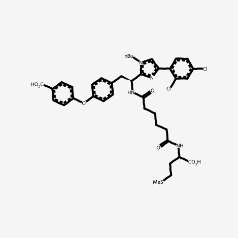 CCCCn1cc(-c2ccc(Cl)cc2Cl)nc1[C@H](Cc1ccc(Oc2ccc(C(=O)O)cc2)cc1)NC(=O)CCCCC(=O)NC(CCSC)C(=O)O